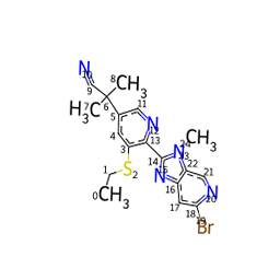 CCSc1cc(C(C)(C)C#N)cnc1-c1nc2cc(Br)ncc2n1C